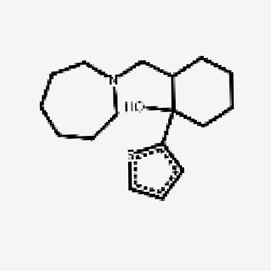 OC1(c2cccs2)CCCCC1CN1CCCCCC1